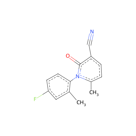 Cc1cc(F)ccc1-n1c(C)ccc(C#N)c1=O